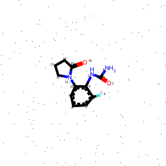 NC(=O)Nc1c(F)cccc1N1CCCC1=O